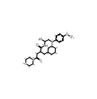 CC(C)C(CNc1ccc(OC(F)(F)F)cc1)NC(=O)C(CC(=O)N1CCOCC1)CC1CCCCC1